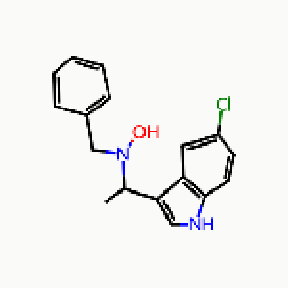 CC(c1c[nH]c2ccc(Cl)cc12)N(O)Cc1ccccc1